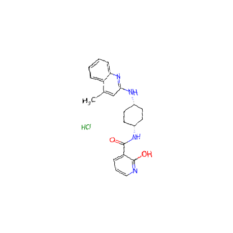 Cc1cc(N[C@H]2CC[C@@H](NC(=O)c3cccnc3O)CC2)nc2ccccc12.Cl